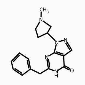 CN1CCC(n2ncc3c(=O)[nH]c(Cc4ccccc4)nc32)C1